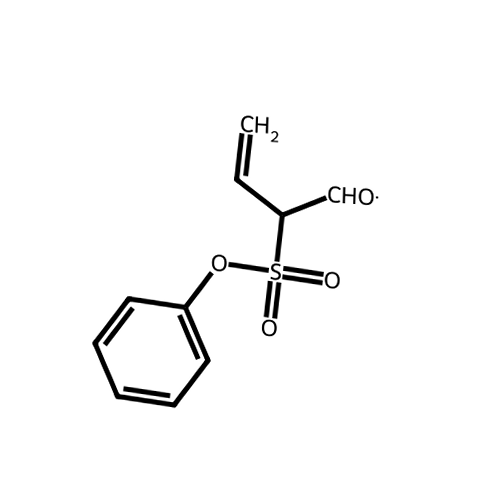 C=CC([C]=O)S(=O)(=O)Oc1ccccc1